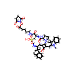 C/N=C(\C=C1/C(=O)C(/C=C2/N(C)c3ccccc3C2(C)C)=C1N1CCC[C@@H]1C(=O)N[C@@H](CS(=O)(=O)O)C(=O)NCCCCC(=O)ON1C(=O)CCC1=O)C(C)(C)c1ccccc1C